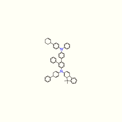 CC1(C)c2ccccc2C2C=CC(N(C3=CCC(c4ccccc4)C=C3)c3ccc(-c4ccc(N(c5ccccc5)c5ccc(C6C=CCCC6)cc5)cc4)c(-c4ccccc4)c3)=CC21